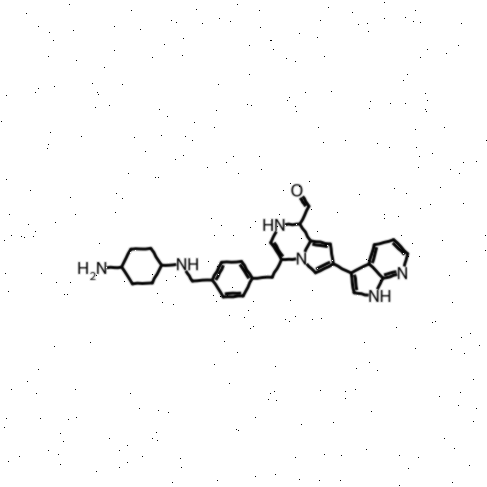 NC1CCC(NCc2ccc(CC3=CNC(C=O)c4cc(-c5c[nH]c6ncccc56)cn43)cc2)CC1